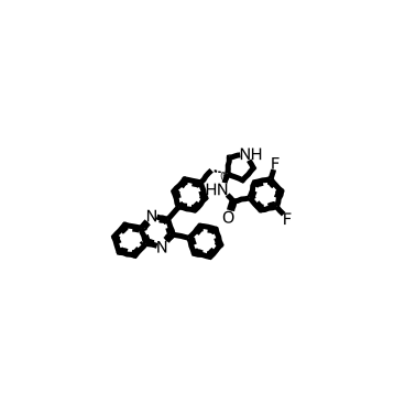 O=C(N[C@]1(Cc2ccc(-c3nc4ccccc4nc3-c3ccccc3)cc2)CCNC1)c1cc(F)cc(F)c1